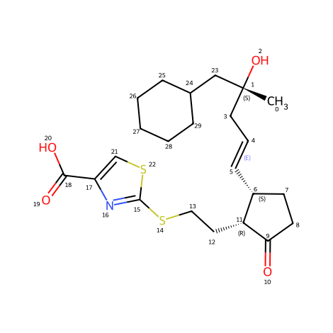 C[C@@](O)(C/C=C/[C@@H]1CCC(=O)[C@@H]1CCSc1nc(C(=O)O)cs1)CC1CCCCC1